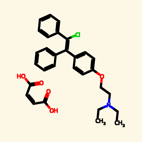 CCN(CC)CCOc1ccc(/C(=C(\Cl)c2ccccc2)c2ccccc2)cc1.O=C(O)/C=C\C(=O)O